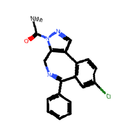 CNC(=O)n1ncc2c1CN=C(c1ccccc1)c1cc(Cl)ccc1-2